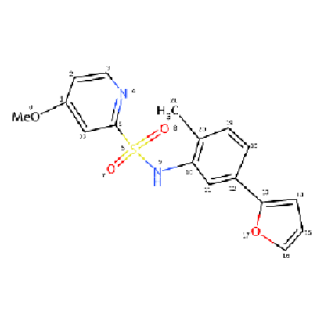 COc1ccnc(S(=O)(=O)Nc2cc(-c3ccco3)ccc2C)c1